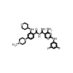 CN1CCN(c2ccc(C(=O)NC(=N)c3cnc(Nc4cc(F)cc(F)c4)nc3N)c(NC3CCOCC3)c2)CC1